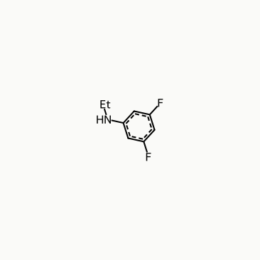 CCNc1cc(F)cc(F)c1